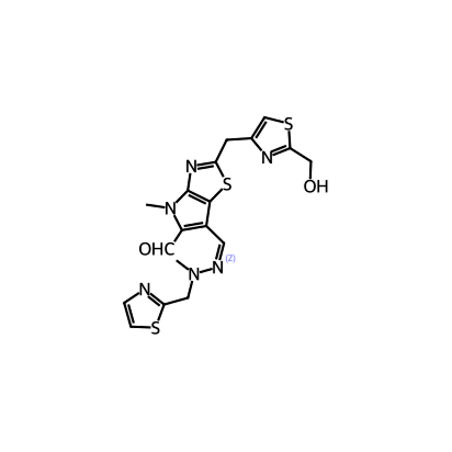 CN(Cc1nccs1)/N=C\c1c(C=O)n(C)c2nc(Cc3csc(CO)n3)sc12